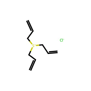 C=CC[S+](CC=C)CC=C.[Cl-]